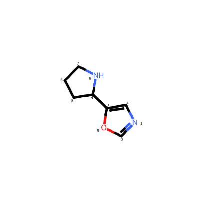 c1ncc(C2CCCN2)o1